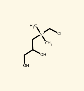 C[N+](C)(CCl)CC(O)CO